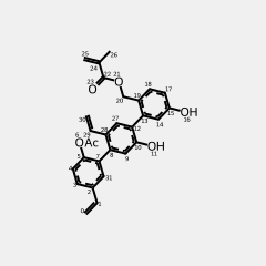 C=Cc1ccc(OC(C)=O)c(-c2cc(O)c(-c3cc(O)ccc3COC(=O)C(=C)C)cc2C=C)c1